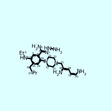 CCNc1cc(/C(N)=N/NN)c(N2CCN(C/C(N)=C/C=C\N)CC2)cc1CC(C)C